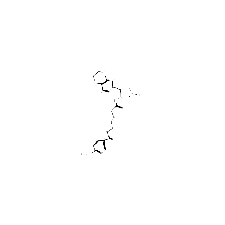 CCCN(C)C[C@H](NC(=O)CCCCCC(=O)c1ccc(OC)cc1)[C@@H](O)c1ccc2c(c1)OCCO2